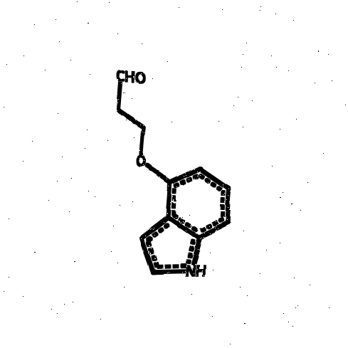 O=CCCOc1cccc2[nH]ccc12